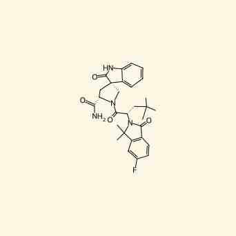 CC(C)(C)C[C@@H](C(=O)N1C[C@]2(C[C@H]1C(N)=O)C(=O)Nc1ccccc12)N1C(=O)c2ccc(F)cc2C1(C)C